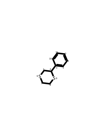 c1ccc(C2CSCCS2)cc1